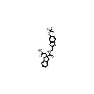 O=C(O)CC1(C(=O)NCc2nc3ccc(OC(F)(F)F)cc3s2)Cc2ccccc2C1